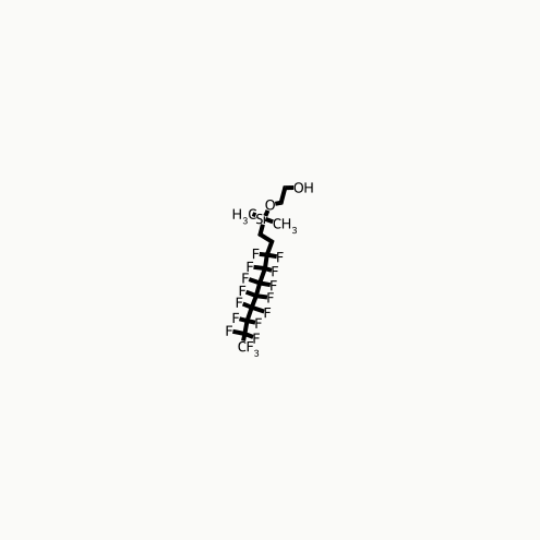 C[Si](C)(CCC(F)(F)C(F)(F)C(F)(F)C(F)(F)C(F)(F)C(F)(F)C(F)(F)C(F)(F)F)OCCO